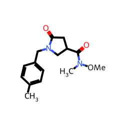 CON(C)C(=O)C1CC(=O)N(Cc2ccc(C)cc2)C1